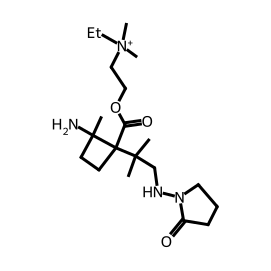 CC[N+](C)(C)CCOC(=O)C1(C(C)(C)CNN2CCCC2=O)CCC1(C)N